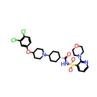 O=C(NS(=O)(=O)c1cccnc1N1CCOCC1)[C@H]1CC[C@H](N2CCC(Oc3ccc(Cl)c(Cl)c3)CC2)CC1